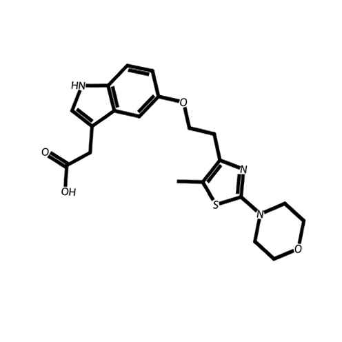 Cc1sc(N2CCOCC2)nc1CCOc1ccc2[nH]cc(CC(=O)O)c2c1